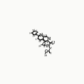 C=C(CNC(=O)c1ncc2nc(-c3cccs3)ccc2c1OC)OC